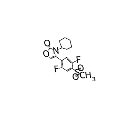 CS(=O)(=O)c1cc(F)c(-c2coc(=O)n2C2CCCCC2)cc1F